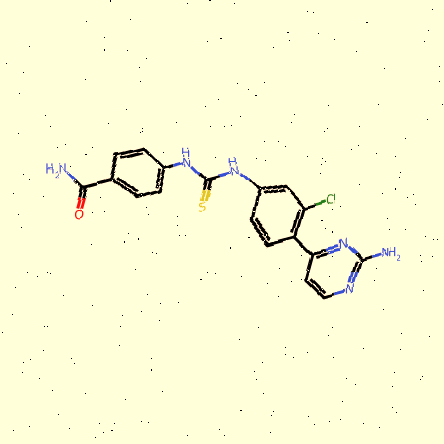 NC(=O)c1ccc(NC(=S)Nc2ccc(-c3ccnc(N)n3)c(Cl)c2)cc1